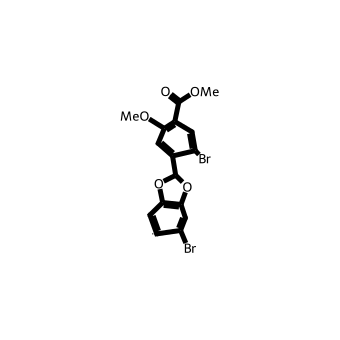 COC(=O)c1cc(Br)c(C2Oc3c[c]c(Br)cc3O2)cc1OC